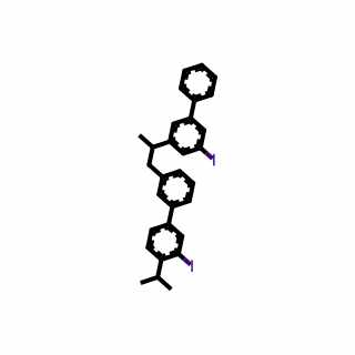 CC(C)c1ccc(-c2cccc(CC(C)c3cc(I)cc(-c4ccccc4)c3)c2)cc1I